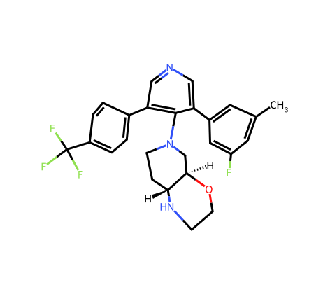 Cc1cc(F)cc(-c2cncc(-c3ccc(C(F)(F)F)cc3)c2N2CC[C@H]3NCCO[C@@H]3C2)c1